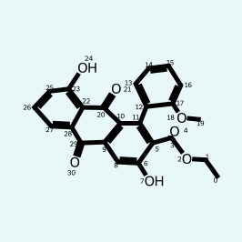 CCOC(=O)c1c(O)cc2c(c1-c1ccccc1OC)C(=O)c1c(O)cccc1C2=O